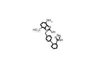 CCCc1nc2c(N)ccc(C(=O)O)c2n1Cc1ccc(-c2ccccc2-c2nnn[nH]2)cc1